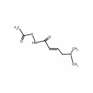 CN(C)CC=CC(=O)NOC(=O)C(F)(F)F